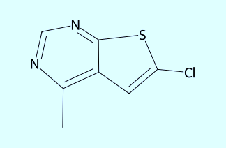 Cc1ncnc2sc(Cl)cc12